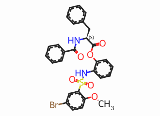 COc1ccc(Br)cc1S(=O)(=O)Nc1ccccc1OC(=O)[C@H](Cc1ccccc1)NC(=O)c1ccccc1